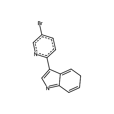 Brc1ccc(C2=CN=C3C=CCC=C23)nc1